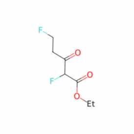 CCOC(=O)C(F)C(=O)CCF